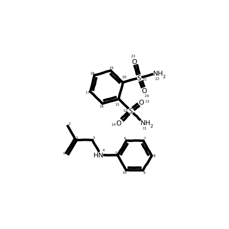 C=C(C)CNc1ccccc1.NS(=O)(=O)c1ccccc1S(N)(=O)=O